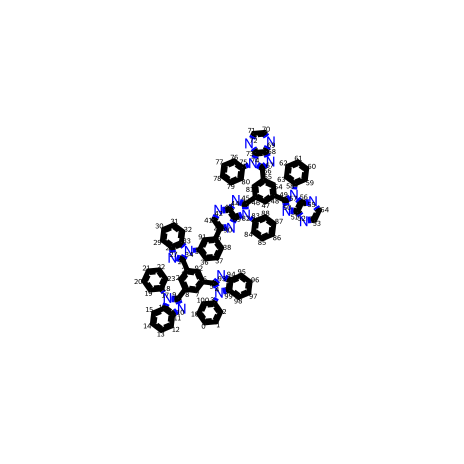 c1ccc(-n2c(-c3cc(-c4nc5ccccc5n4-c4ccccc4)cc(-c4nc5ccccc5n4-c4cccc(-c5cnc6nc(-c7cc(-c8nc9nccnc9n8-c8ccccc8)cc(-c8nc9nccnc9n8-c8ccccc8)c7)n(-c7ccccc7)c6n5)c4)c3)nc3ccccc32)cc1